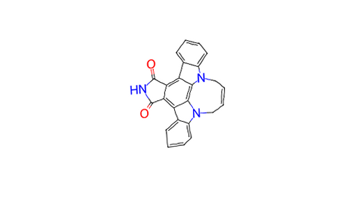 O=C1NC(=O)c2c1c1c3ccccc3n3c1c1c2c2ccccc2n1C/C=C\C3